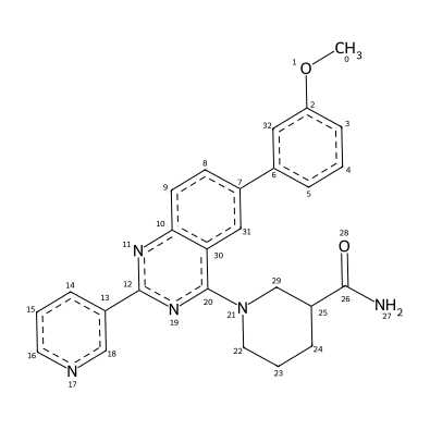 COc1cccc(-c2ccc3nc(-c4cccnc4)nc(N4CCCC(C(N)=O)C4)c3c2)c1